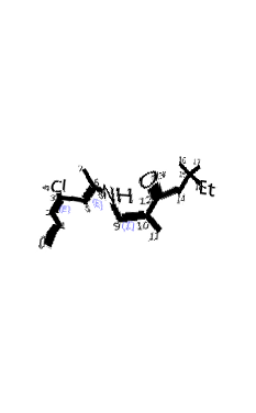 C=C/C=C(Cl)\C=C(/C)N/C=C(/C)C(=O)CC(C)(C)CC